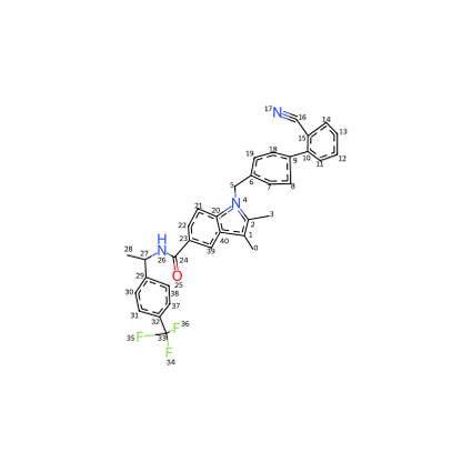 Cc1c(C)n(Cc2ccc(-c3ccccc3C#N)cc2)c2ccc(C(=O)NC(C)c3ccc(C(F)(F)F)cc3)cc12